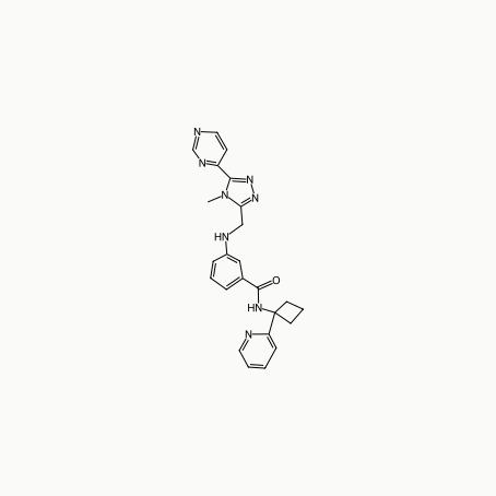 Cn1c(CNc2cccc(C(=O)NC3(c4ccccn4)CCC3)c2)nnc1-c1ccncn1